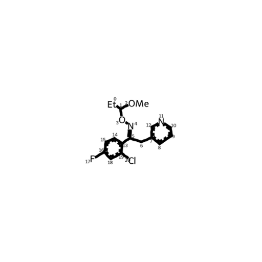 CCC(OC)ON=C(Cc1cccnc1)c1ccc(F)cc1Cl